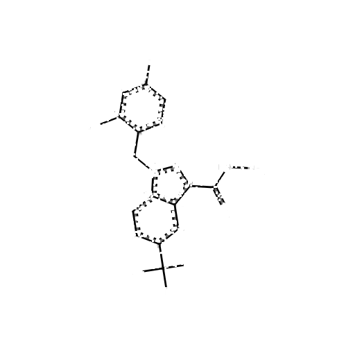 NNC(=O)c1nn(Cc2ccc(F)cc2F)c2ccc(C(F)(F)F)cc12